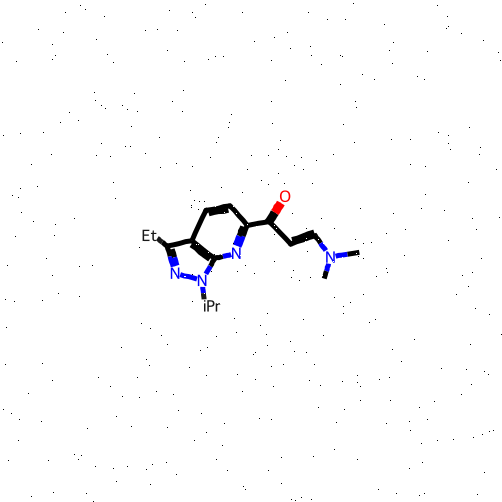 CCc1nn(C(C)C)c2nc(C(=O)C=CN(C)C)ccc12